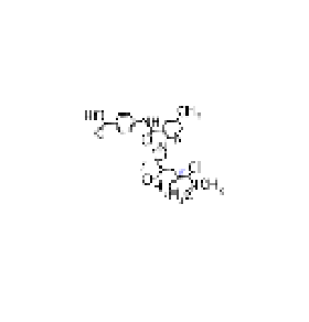 C/C(CC1COCCC12CN(c1ncc(C)cc1C(=O)Nc1ccc(C(=O)O)cc1)C2)=C(/Cl)N(C)C